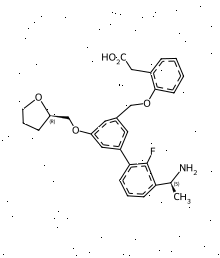 C[C@H](N)c1cccc(-c2cc(COc3ccccc3CC(=O)O)cc(OC[C@H]3CCCO3)c2)c1F